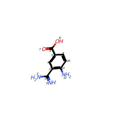 N=C(N)c1cc(C(=O)O)ccc1N